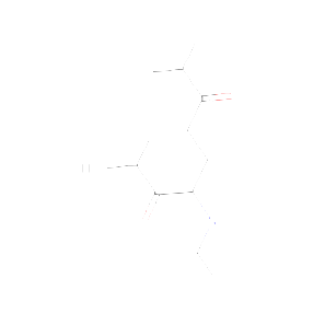 CCNC(CCC(=O)C(C)C)C(=O)C(C)C